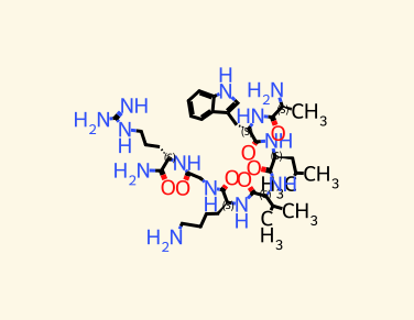 CC(C)C[C@H](NC(=O)[C@H](Cc1c[nH]c2ccccc12)NC(=O)[C@H](C)N)C(=O)N[C@H](C(=O)N[C@@H](CCCCN)C(=O)NCC(=O)N[C@@H](CCCNC(=N)N)C(N)=O)C(C)C